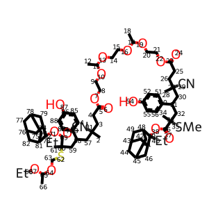 [C-]#[N+]C(C)(CCC(=O)OCCOC(C)OCCOC(C)OCCOC(=O)CCC(C)(C#N)CC(CC(C)(SC)C(=O)OC1(CC)C2CC3CC(C2)CC1C3)c1ccc(O)cc1)CC(CC(C)(SCOC(C)OCC)C(=O)OC1(CC)C2CC3CC(C2)CC1C3)c1ccc(O)cc1